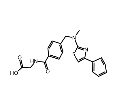 CN(Cc1ccc(C(=O)NCC(=O)O)cc1)c1nc(-c2ccccc2)cs1